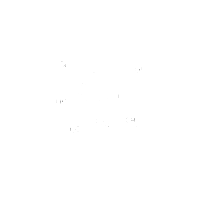 CC=CC.Oc1ccc(O)c(Br)c1